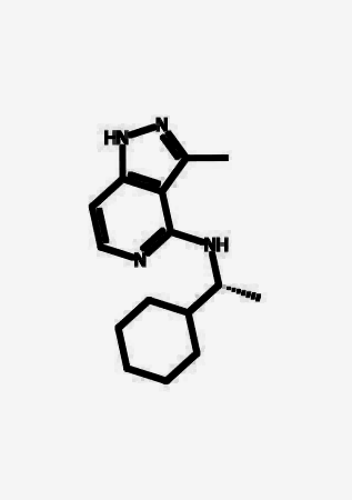 Cc1n[nH]c2ccnc(N[C@H](C)C3CCCCC3)c12